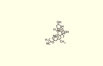 CC(C#N)OC(=O)CC[C@@H](C)[C@H]1CC[C@H]2[C@@H]3[C@H](O)C[C@@H]4C[C@H](O)CC[C@]4(C)[C@H]3C[C@H](O)[C@]12C